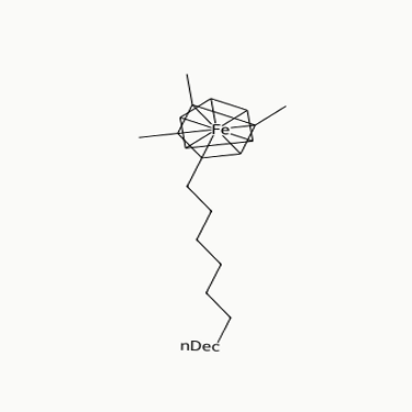 CCCCCCCCCCCCCCCC[C]12[CH]3[C]4(C)[C]5(C)[C]1(C)[Fe]34251678[CH]2[CH]1[CH]6[CH]7[CH]28